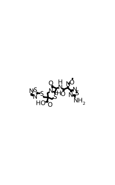 CON=C(C(=O)NC1C(=O)N2CC(CSc3ncns3)(C(=O)O)CS[C@H]12)c1nsc(N)n1